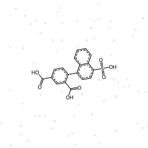 O=C(O)c1ccc(-c2ccc(S(=O)(=O)O)c3ccccc23)c(C(=O)O)c1